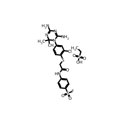 CC1(C)N=C(N)N=C(N)N1c1ccc(SCC(=O)Nc2ccc(S(=O)(=O)F)cc2)c(Cl)c1.CCS(=O)(=O)O